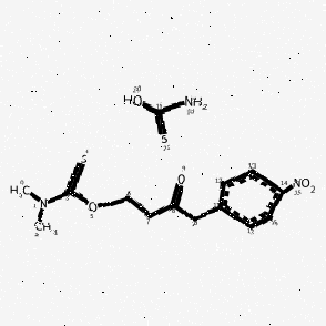 CN(C)C(=S)OCCC(=O)Cc1ccc([N+](=O)[O-])cc1.NC(O)=S